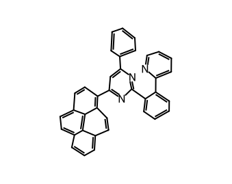 c1ccc(-c2cc(-c3ccc4ccc5cccc6ccc3c4c56)nc(-c3ccccc3-c3ccccn3)n2)cc1